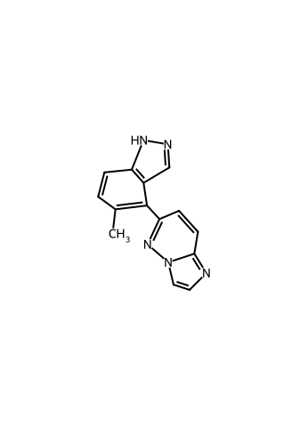 Cc1ccc2[nH]ncc2c1-c1ccc2nccn2n1